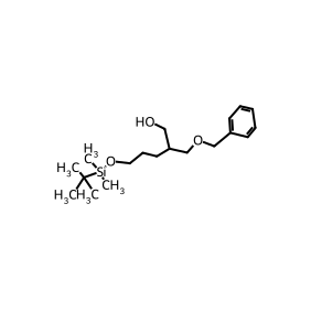 CC(C)(C)[Si](C)(C)OCCCC(CO)COCc1ccccc1